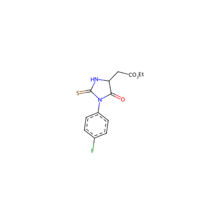 CCOC(=O)CC1NC(=S)N(c2ccc(F)cc2)C1=O